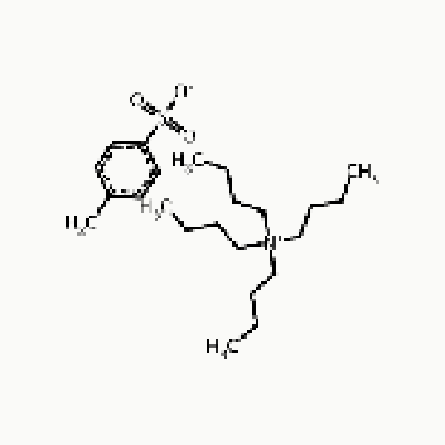 CCCC[N+](CCCC)(CCCC)CCCC.Cc1ccc(S(=O)(=O)[O-])cc1